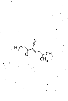 CCC(=O)/C(C#N)=C/CC(C)C